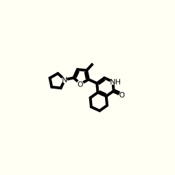 Cc1cc(N2CCCC2)oc1-c1c[nH]c(=O)c2c1CCCC2